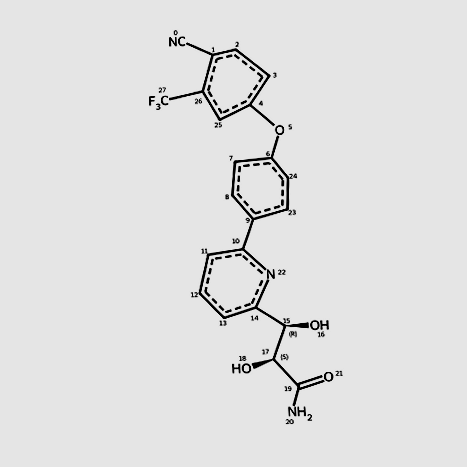 N#Cc1ccc(Oc2ccc(-c3cccc([C@@H](O)[C@H](O)C(N)=O)n3)cc2)cc1C(F)(F)F